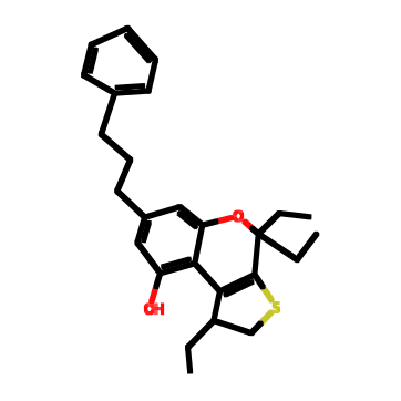 CCC1CSC2=C1c1c(O)cc(CCCc3ccccc3)cc1OC2(CC)CC